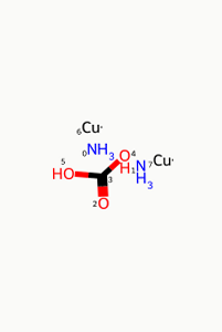 N.N.O=C(O)O.[Cu].[Cu]